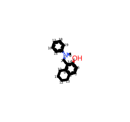 CN(Cc1c(O)ccc2c1CCCC2)c1ccccc1